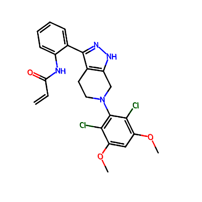 C=CC(=O)Nc1ccccc1-c1n[nH]c2c1CCN(c1c(Cl)c(OC)cc(OC)c1Cl)C2